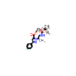 CCOC(=O)c1cc(-c2ccc(F)cc2)nn1[C@H](C)CNC(=O)OC(C)(C)C